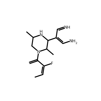 C=C(/C(F)=C\C)N1CC(C)NC(/C(C=N)=C/N)C1C